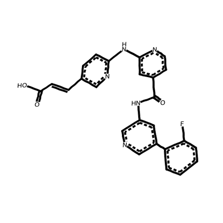 O=C(O)C=Cc1ccc(Nc2cc(C(=O)Nc3cncc(-c4ccccc4F)c3)ccn2)nc1